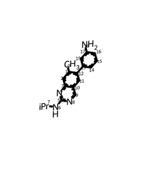 Cc1cc2nc(NC(C)C)ncc2cc1-c1cccc(N)c1